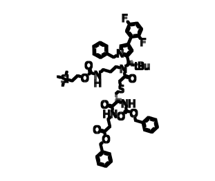 CC(C)(C)[C@H](c1cc(-c2cc(F)ccc2F)cn1Cc1ccccc1)N(CCCNC(=O)OCC[Si](C)(C)C)C(=O)CSC[C@H](NC(=O)OCc1ccccc1)C(=O)NCCC(=O)OCc1ccccc1